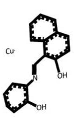 Oc1ccccc1N=Cc1c(O)ccc2ccccc12.[Cu]